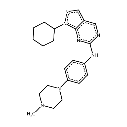 CN1CCN(c2ccc(Nc3ncc4cnn(C5CCCCC5)c4n3)cc2)CC1